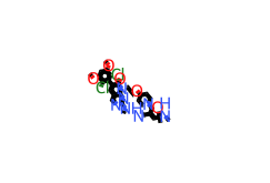 CNc1ncc2cc(-c3c(Cl)c(OC)cc(OC)c3Cl)c(=O)n(CCOC3CCN(C(=O)/C(C#N)=C\C(C)(C)NC)CC3)c2n1